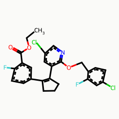 CCOC(=O)c1cc(C2=C(c3cc(Cl)cnc3OCc3ccc(Cl)cc3F)CCC2)ccc1F